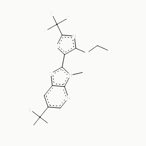 CCSc1nc(C(F)(F)F)sc1-c1nc2cc(C(F)(F)F)cnc2n1C